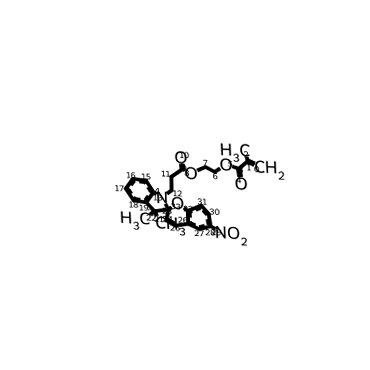 C=C(C)C(=O)OCCOC(=O)CCN1c2ccccc2C(C)(C)C12C=Cc1cc([N+](=O)[O-])ccc1O2